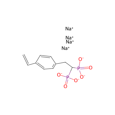 C=Cc1ccc(CC(P(=O)([O-])[O-])P(=O)([O-])[O-])cc1.[Na+].[Na+].[Na+].[Na+]